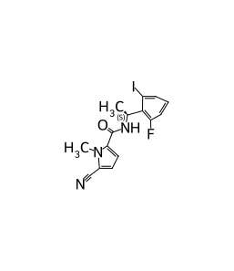 C[C@H](NC(=O)c1ccc(C#N)n1C)c1c(F)cccc1I